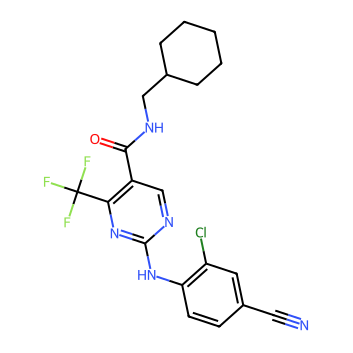 N#Cc1ccc(Nc2ncc(C(=O)NCC3CCCCC3)c(C(F)(F)F)n2)c(Cl)c1